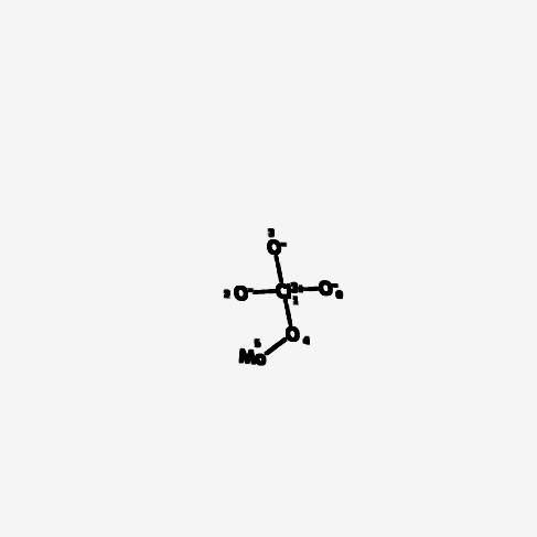 [O-][Cl+3]([O-])([O-])[O][Mo]